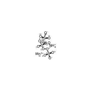 O.O=S(=O)([O-])OOS(=O)(=O)[O-].O=S(=O)([O-])[O-].[Mn+3].[NH4+]